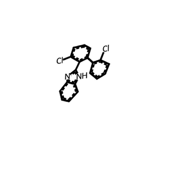 Clc1ccccc1-c1cccc(Cl)c1-c1nc2ccccc2[nH]1